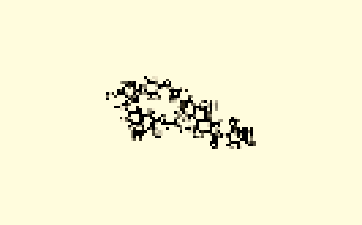 CC(C)n1c(=O)c(OCC(N)=O)cc2cc(Nc3nc(N4CCC(O[C@H]5C[C@H](N6CC[C@H](c7ccc8c(c7F)CN(C7CCC(=O)NC7=O)C8=O)[C@H](O)C6)C5)CC4)ncc3Cl)ccc21